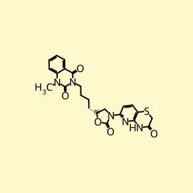 Cn1c(=O)n(CCCC[C@@H]2CN(c3ccc4c(n3)NC(=O)CS4)C(=O)O2)c(=O)c2ccccc21